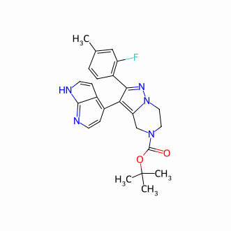 Cc1ccc(-c2nn3c(c2-c2ccnc4[nH]ccc24)CN(C(=O)OC(C)(C)C)CC3)c(F)c1